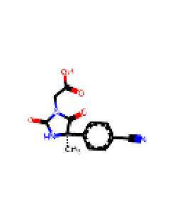 C[C@]1(c2ccc(C#N)cc2)NC(=O)N(CC(=O)O)C1=O